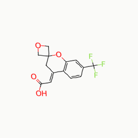 O=C(O)C=C1CC2(COC2)Oc2cc(C(F)(F)F)ccc21